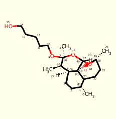 C[C@@H]1CC[C@H]2[C@@H](C)[C@@](C)(OCCCCCO)O[C@@H]3O[C@]4(C)CCC1[C@]32OO4